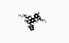 COCC1CSc2c(-c3ccc(F)c4sc(N)nc34)c(Cl)cc3c(N4CC5CCC(C4)N5)nc(=O)n1c23